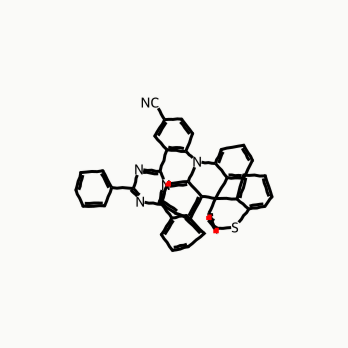 N#Cc1ccc(N2c3ccccc3C3(c4ccccc4Sc4ccccc43)c3ccccc32)c(-c2nc(-c3ccccc3)nc(-c3ccccc3)n2)c1